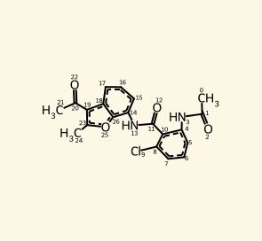 CC(=O)Nc1cccc(Cl)c1C(=O)Nc1cccc2c(C(C)=O)c(C)oc12